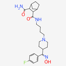 NC(=O)C1C2CCC(C2)C1C(=O)NCCCCN1CCC(C(=NO)c2ccc(F)cc2)CC1